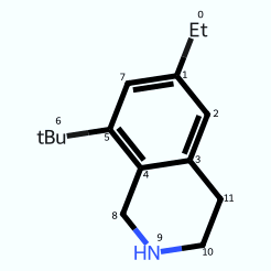 CCc1cc2c(c(C(C)(C)C)c1)CNCC2